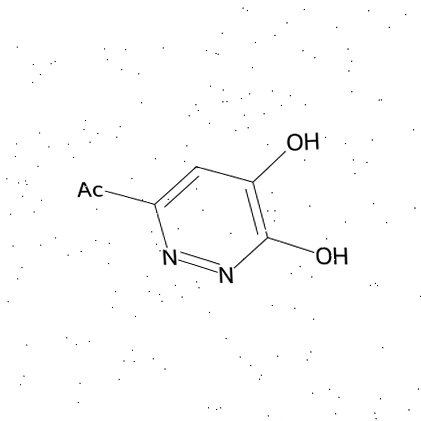 CC(=O)c1cc(O)c(O)nn1